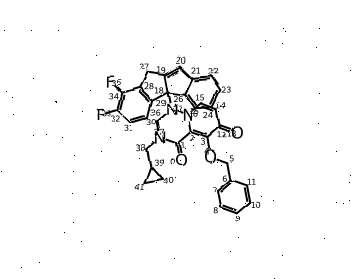 O=C1c2c(OCc3ccccc3)c(=O)ccn2N(C23C(=Cc4ccccc42)Cc2c3ccc(F)c2F)CN1CC1CC1